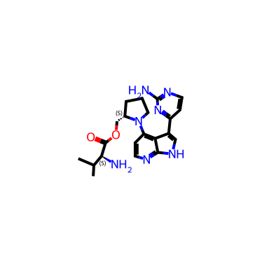 CC(C)[C@H](N)C(=O)OC[C@@H]1CCCN1c1ccnc2[nH]cc(-c3ccnc(N)n3)c12